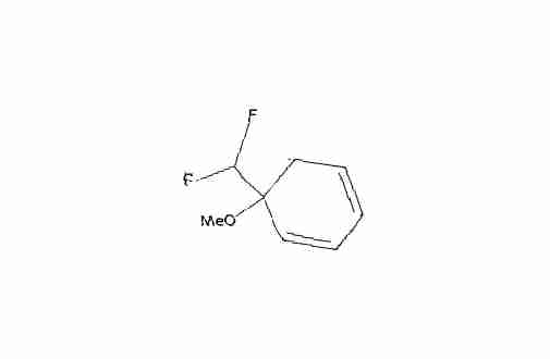 COC1(C(F)F)[CH]C=CC=C1